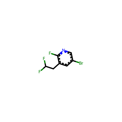 Fc1ncc(Br)cc1CC(F)F